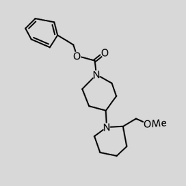 COCC1CCCCN1C1CCN(C(=O)OCc2ccccc2)CC1